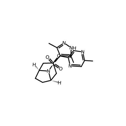 Cc1cnc(OC2C[C@H]3CC[C@@H](C2)N3S(=O)(=O)c2c(C)n[nH]c2C)cn1